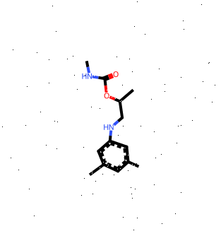 CNC(=O)OC(C)CNc1cc(C)cc(C)c1